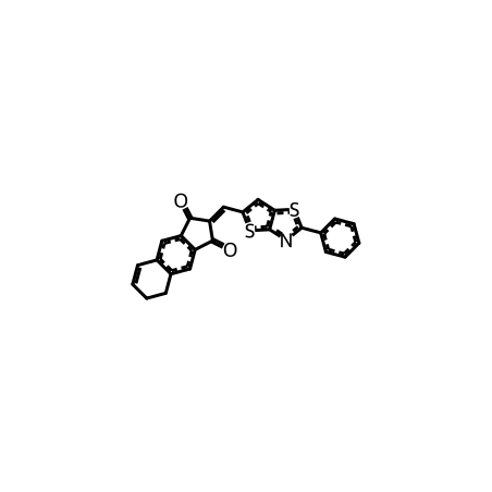 O=C1/C(=C/c2cc3sc(-c4ccccc4)nc3s2)C(=O)c2cc3c(cc21)C=CCC3